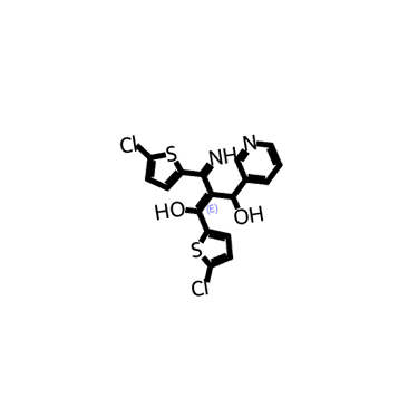 N=C(/C(=C(\O)c1ccc(Cl)s1)C(O)c1cccnc1)c1ccc(Cl)s1